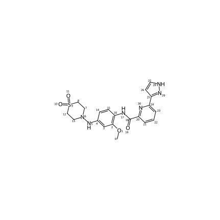 COc1cc(NN2CCS(=O)(=O)CC2)ccc1NC(=O)c1cccc(-c2cc[nH]n2)n1